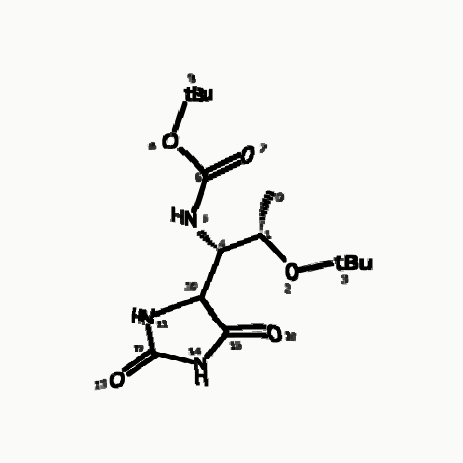 C[C@H](OC(C)(C)C)[C@@H](NC(=O)OC(C)(C)C)C1NC(=O)NC1=O